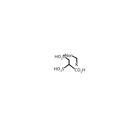 CCCCCCCCC[CH2][K].O=C(O)CC(C(=O)O)S(=O)(=O)O